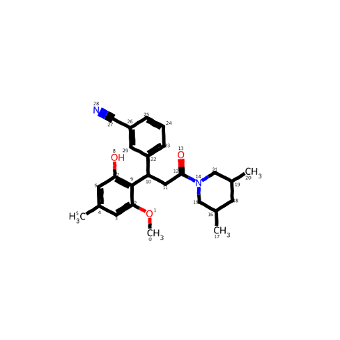 COc1cc(C)cc(O)c1C(CC(=O)N1CC(C)CC(C)C1)c1cccc(C#N)c1